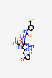 N=C1NC2C(CN3C(=O)CCC3=O)NC(=N)N3CC(NC(=O)Nc4cccc(C(F)(F)F)c4)C(O)(O)C23N1